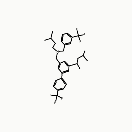 CC(C)CCN(Cc1cc(-c2ccc(C(F)(F)F)cc2)cc(C(C)CC(C)C)c1)Cc1cccc(C(F)(F)F)c1